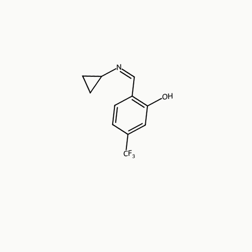 Oc1cc(C(F)(F)F)ccc1/C=N\C1CC1